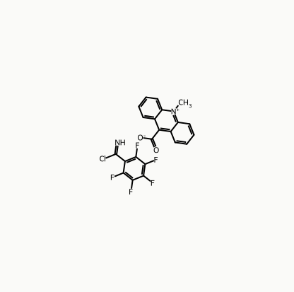 C[n+]1c2ccccc2c(C(=O)[O-])c2ccccc21.N=C(Cl)c1c(F)c(F)c(F)c(F)c1F